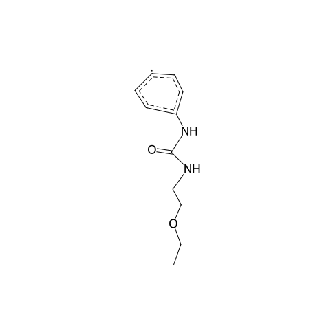 CCOCCNC(=O)Nc1cc[c]cc1